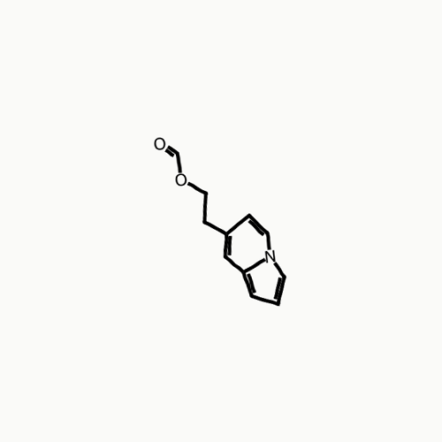 O=COCCc1ccn2cccc2c1